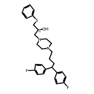 O[C@H](CSc1ccccc1)CN1CCN(CCCC(c2ccc(F)cc2)c2ccc(F)cc2)CC1